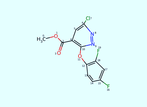 COC(=O)c1cc(Cl)nnc1Oc1ccc(F)cc1F